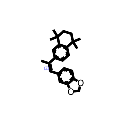 C/C(=C/c1ccc2c(c1)OCO2)c1ccc2c(c1)C(C)(C)CCC2(C)C